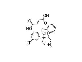 CN1CCC(O)(c2cccc(Cl)c2)C(c2ccccc2F)C1.O=C(O)C=CC(=O)O